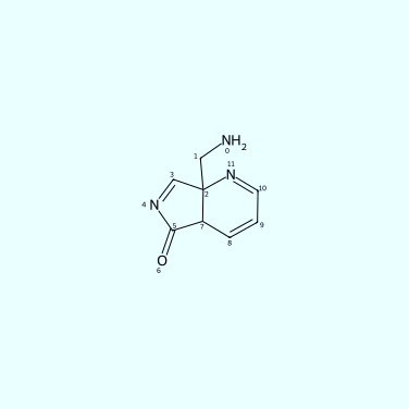 NCC12C=NC(=O)C1C=CC=N2